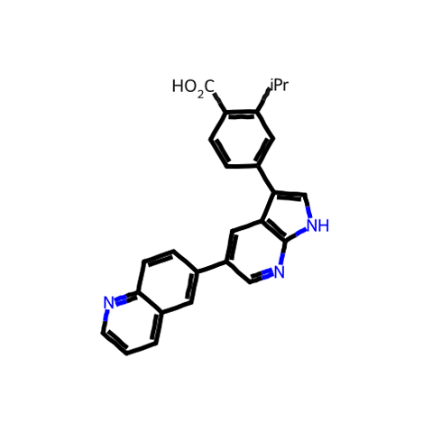 CC(C)c1cc(-c2c[nH]c3ncc(-c4ccc5ncccc5c4)cc23)ccc1C(=O)O